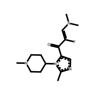 Cc1ncc(C(=O)C(F)=CN(C)C)n1C1CCN(C)CC1